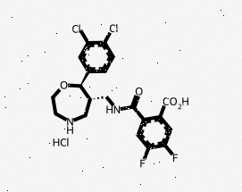 Cl.O=C(O)c1cc(F)c(F)cc1C(=O)NC[C@@H]1CNCCO[C@H]1c1ccc(Cl)c(Cl)c1